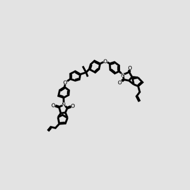 C=CCC1=CC2CC1C1C(=O)N(c3ccc(Oc4ccc(C(C)(C)c5ccc(Oc6ccc(N7C(=O)C8C9C=C(CC=C)C(C9)C8C7=O)cc6)cc5)cc4)cc3)C(=O)C21